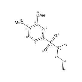 C=CCN(C)S(=O)(=O)c1ccc(OC)c(OC)c1